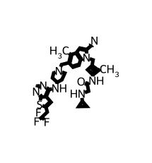 Cc1c(CN2CCC(Nc3ncnc4sc(CC(F)(F)F)cc34)CC2)ccc2c1cc(C#N)n2CC12CC(NC(=O)CNC3CC3)(C1)C2C